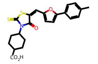 Cc1ccc(-c2ccc(/C=C3/SC(=S)N(C4CCC(C(=O)O)CC4)C3=O)o2)cc1